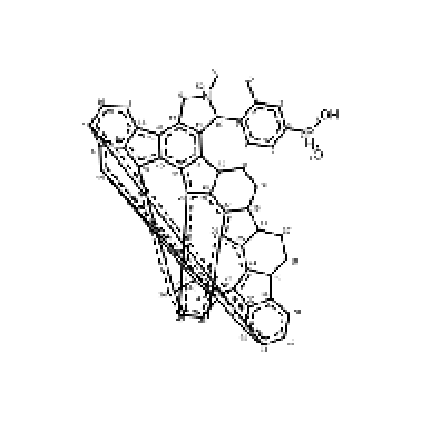 Cc1cc([PH](=O)O)ccc1C1c2c(c3c4ccc5c6ccc7c8c9c%10c%11c%12c%13c%14c%15c(c2C%14CCC%13C%11CCC7%10)c3c2c4c5c(c68)c3c9c%12c%15c23)CN1C